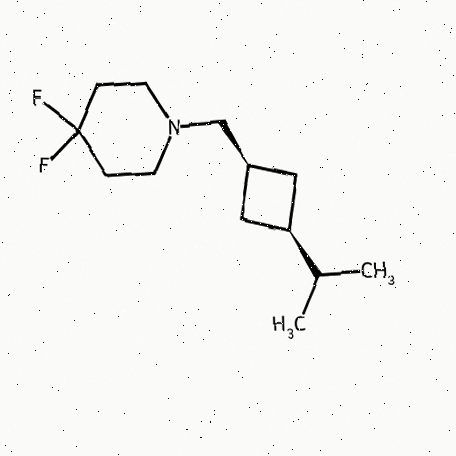 CC(C)[C@H]1C[C@@H](CN2CCC(F)(F)CC2)C1